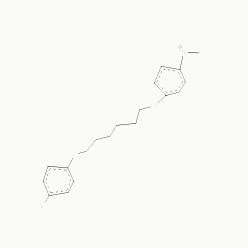 O=[N+]([O-])c1ccc(OCCCCCCOc2ccc(F)cc2)cc1